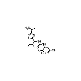 CC[C@H](C)C(NC(=O)N[C@@H](CC(=O)O)C(=O)O)c1nc([C@H](C)N)no1